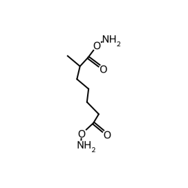 CC(CCCCC(=O)ON)C(=O)ON